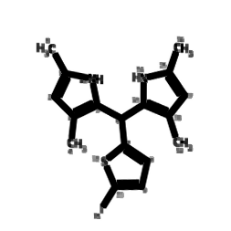 Cc1cc(C)c(C(c2ccc(I)s2)c2[nH]c(C)cc2C)[nH]1